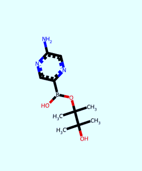 CC(C)(O)C(C)(C)OB(O)c1cnc(N)cn1